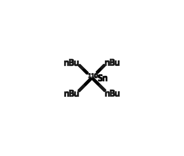 CCC[CH2][110Sn]([CH2]CCC)([CH2]CCC)[CH2]CCC